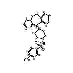 O=S(=O)(NC1CCC(=C2c3ccccc3CCc3ccccc32)CC1)c1ccc(Cl)cc1